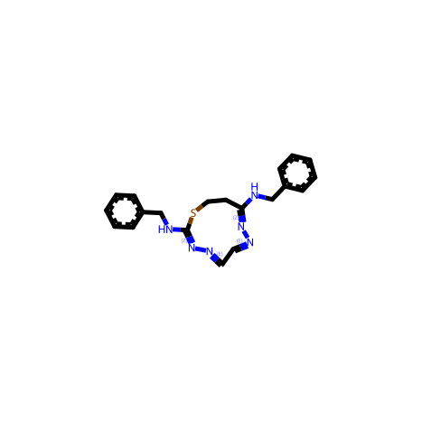 C1=N/N=C(\NCc2ccccc2)CCS\C(NCc2ccccc2)=N/N=C/1